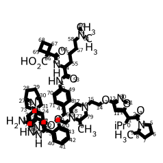 CC(C)C(C(=O)N1CCCC1C)c1cc(OCCN2CCN(CCOc3cc(N4C5CCC4CN(C4=C(N)NNC(c6ccccc6OCc6ccc(NC(=O)C(CCCCN(C)C)NC(=O)C7(C(=O)O)CCC7)cc6)=C4)C5)ccn3)C(C)C2)no1